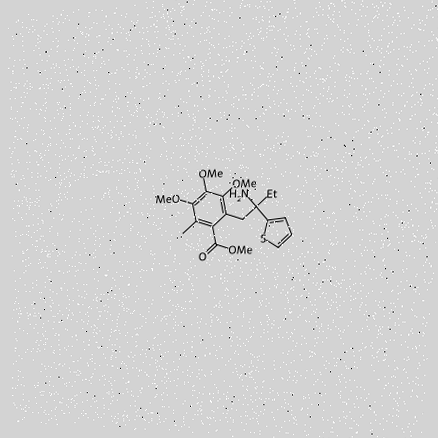 CCC(N)(Cc1c(OC)c(OC)c(OC)c(C)c1C(=O)OC)c1cccs1